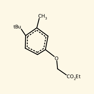 CCOC(=O)COc1ccc(C(C)(C)C)c(C)c1